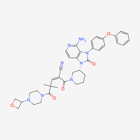 CC(C)(/C=C(/C#N)C(=O)N1CCC[C@@H](n2c(=O)n(-c3ccc(Oc4ccccc4)cc3)c3c(N)nccc32)C1)C(=O)N1CCN(C2COC2)CC1